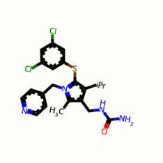 Cc1c(CNC(N)=O)c(C(C)C)c(Sc2cc(Cl)cc(Cl)c2)n1Cc1ccncc1